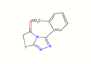 O=C(O)c1ccccc1-c1nnc2n1C(=O)CS2